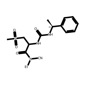 CCN(C#N)C(=O)C(CS(C)(=O)=O)NC(=O)N[C@@H](C)c1ccccc1